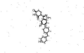 Cn1nc(C2CCC(=O)NC2=O)c2cc(F)c(N3CCC(CN4CCNCC4)CC3)cc21